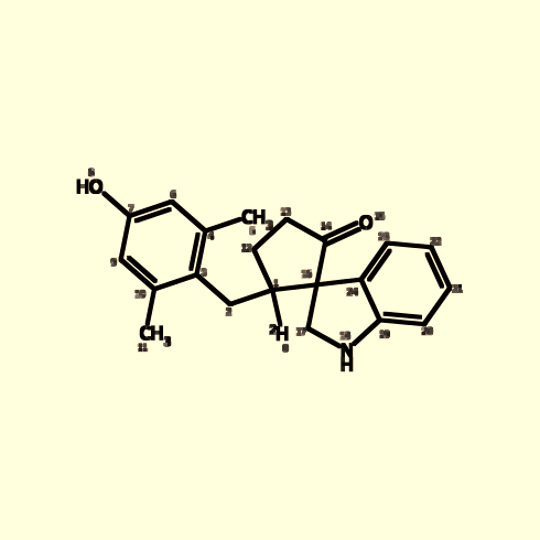 [2H]C1(Cc2c(C)cc(O)cc2C)CCC(=O)C12CNc1ccccc12